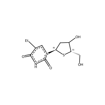 CCc1cn([C@H]2CC(O)[C@H](CO)S2)c(=O)[nH]c1=O